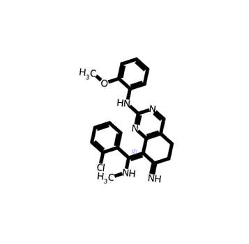 CN/C(=C1\C(=N)CCc2cnc(Nc3ccccc3OC)nc21)c1ccccc1Cl